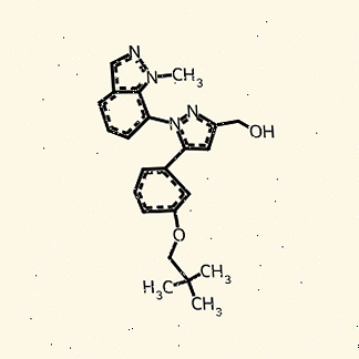 Cn1ncc2cccc(-n3nc(CO)cc3-c3cccc(OCC(C)(C)C)c3)c21